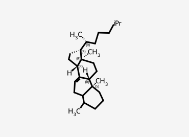 CC(C)CCC[C@@H](C)[C@H]1CC[C@H]2C3=CCC4C(C)CCC[C@]4(C)[C@H]3CC[C@]12C